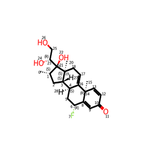 C[C@H]1C[C@H]2[C@@H]3C[C@@H](F)C4=CC(=O)C=C[C@]4(C)C3=CC[C@]2(C)[C@@]1(O)[C@H](O)CO